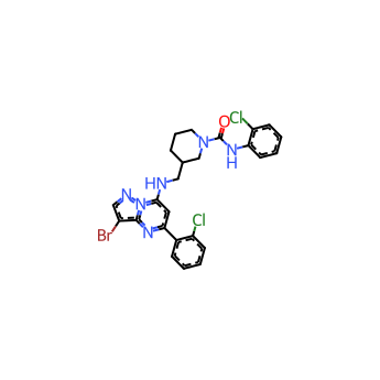 O=C(Nc1ccccc1Cl)N1CCCC(CNc2cc(-c3ccccc3Cl)nc3c(Br)cnn23)C1